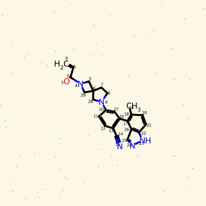 C=CC(=O)N1CC2(CCN(c3ccc(C#N)c(-c4c(C)ccc5[nH]ncc45)c3)C2)C1